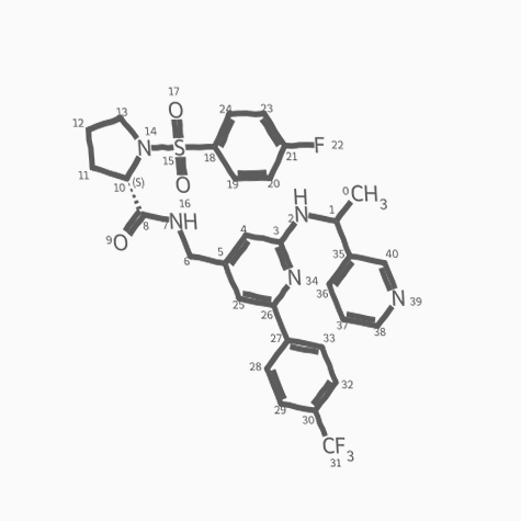 CC(Nc1cc(CNC(=O)[C@@H]2CCCN2S(=O)(=O)c2ccc(F)cc2)cc(-c2ccc(C(F)(F)F)cc2)n1)c1cccnc1